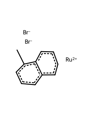 Cc1cccc2ccccc12.[Br-].[Br-].[Ru+2]